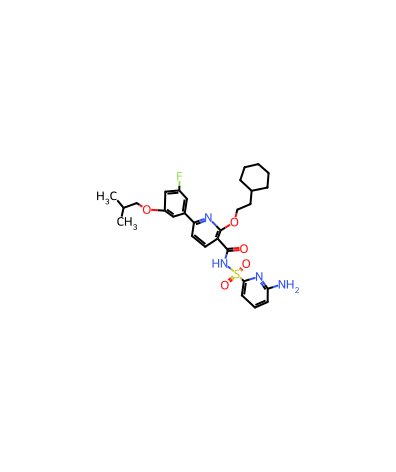 CC(C)COc1cc(F)cc(-c2ccc(C(=O)NS(=O)(=O)c3cccc(N)n3)c(OCCC3CCCCC3)n2)c1